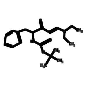 CCN(/C=C/C(=O)C(Cc1ccccc1)NC(=O)OC(C)(C)C)CC